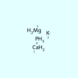 P.[CaH2].[K].[MgH2]